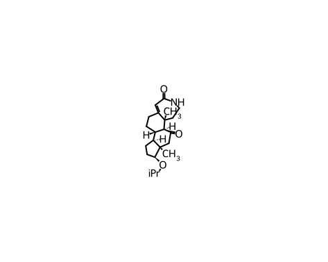 CC(C)O[C@H]1CC[C@H]2[C@@H]3CCC4=CC(=O)NCC[C@]4(C)[C@H]3C(=O)C[C@]12C